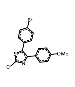 COc1ccc(-c2nc(Cl)sc2-c2ccc(Br)cc2)cc1